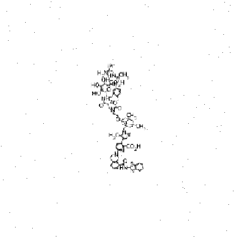 Cc1c(-c2ccc(N3CCc4cccc(C(=O)Nc5nc6ccccc6s5)c4C3)nc2C(=O)O)cnn1CC12CC3(C)CC(C)(C1)CC(OCCN(CCC(N)=O)C(=O)OCc1ccc(NC[C@H](C)NC[C@@H](N)C(C)C)cc1CCC1O[C@H](C(=O)O)[C@@H](O)[C@H](O)[C@H]1O)(C3)C2